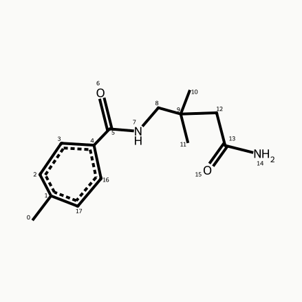 Cc1ccc(C(=O)NCC(C)(C)CC(N)=O)cc1